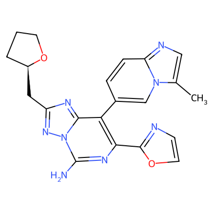 Cc1cnc2ccc(-c3c(-c4ncco4)nc(N)n4nc(C[C@H]5CCCO5)nc34)cn12